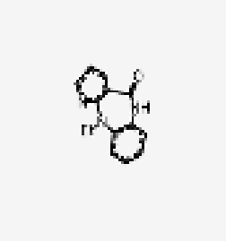 CCN1c2ccccc2NC(=O)c2cccnc21